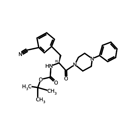 CC(C)(C)OC(=O)N[C@@H](Cc1cccc(C#N)c1)C(=O)N1CCN(c2ccccc2)CC1